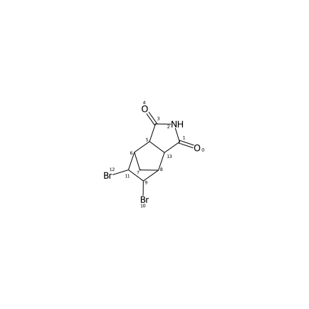 O=C1NC(=O)C2C3CC(C(Br)C3Br)C12